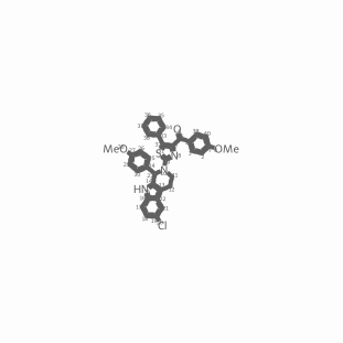 COc1ccc(C(=O)c2nc(N3CCc4c([nH]c5ccc(Cl)cc45)C3c3ccc(OC)cc3)sc2-c2ccccc2)cc1